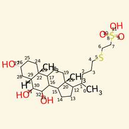 CC(CCCSCCS(=O)(=O)O)C1CCC2C3C(CC[C@]12C)[C@@]1(C)CC[C@@H](O)C[C@H]1[C@H](O)[C@@H]3O